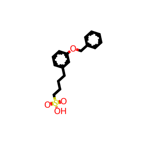 O=S(=O)(O)CCCCc1cccc(OCc2ccccc2)c1